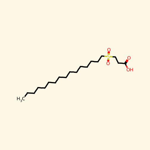 CCCCCCCCCCCCCCCCS(=O)(=O)CCC(=O)O